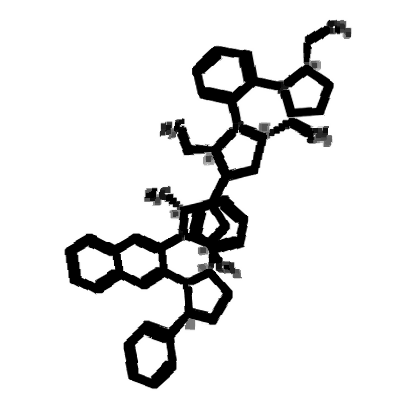 CC[C@@H]1CCCP1c1ccccc1P1[C@H](CC)CC(C2C[C@@H](C)P(c3cc4ccccc4cc3P3[C@H](c4ccccc4)CC[C@H]3c3ccccc3)[C@@H]2C)[C@H]1CC